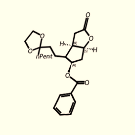 CCCCCC1(CCC2[C@H]3CC(=O)O[C@H]3C[C@H]2OC(=O)c2ccccc2)OCCO1